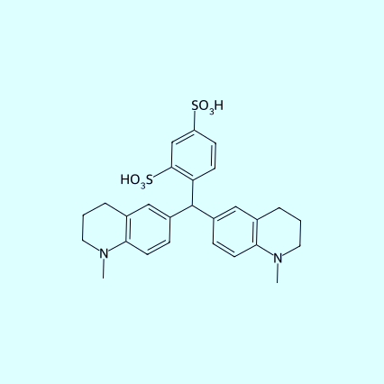 CN1CCCc2cc(C(c3ccc4c(c3)CCCN4C)c3ccc(S(=O)(=O)O)cc3S(=O)(=O)O)ccc21